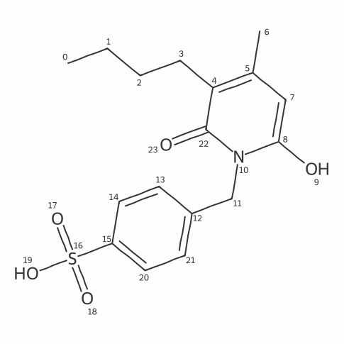 CCCCc1c(C)cc(O)n(Cc2ccc(S(=O)(=O)O)cc2)c1=O